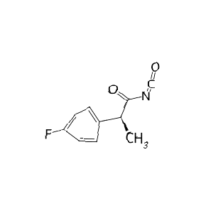 C[C@H](C(=O)N=C=O)c1ccc(F)cc1